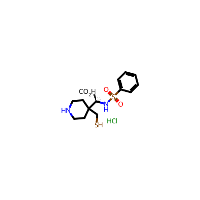 Cl.O=C(O)[C@@H](NS(=O)(=O)c1ccccc1)C1(CS)CCNCC1